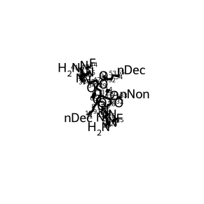 C#C[C@@]1(C[C](OC(=O)CCCCCCCCCCCCC)[C@@]2(C#C)O[C@@H](n3cnc4c(N)nc(F)nc43)C[C@@H]2OC(=O)CCCCCCCCC)O[C@@H](n2cnc3c(N)nc(F)nc32)C[C@@H]1OC(=O)CCCCCCCCCCCCC